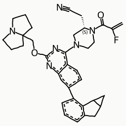 C=C(F)C(=O)N1CCN(c2nc(OCC34CCCN3CCC4)nc3cc(-c4cccc5c4C4CC4C5)ccc23)C[C@@H]1CC#N